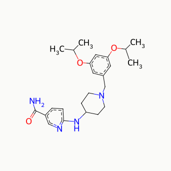 CC(C)Oc1cc(CN2CCC(Nc3ccc(C(N)=O)cn3)CC2)cc(OC(C)C)c1